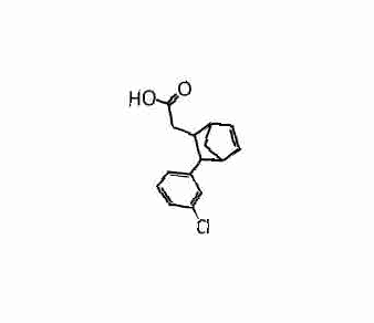 O=C(O)CC1C2C=CC(C2)C1c1cccc(Cl)c1